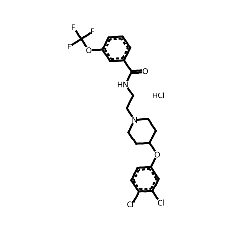 Cl.O=C(NCCN1CCC(Oc2ccc(Cl)c(Cl)c2)CC1)c1cccc(OC(F)(F)F)c1